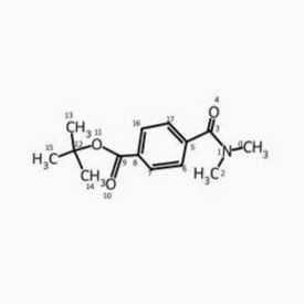 CN(C)C(=O)c1ccc(C(=O)OC(C)(C)C)cc1